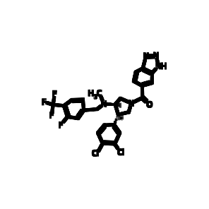 CN(Cc1ccc(C(F)(F)F)c(F)c1)[C@H]1CN(C(=O)c2ccc3nn[nH]c3c2)C[C@@H]1c1ccc(Cl)c(Cl)c1